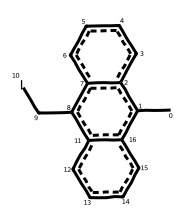 Cc1c2ccccc2c(CI)c2ccccc12